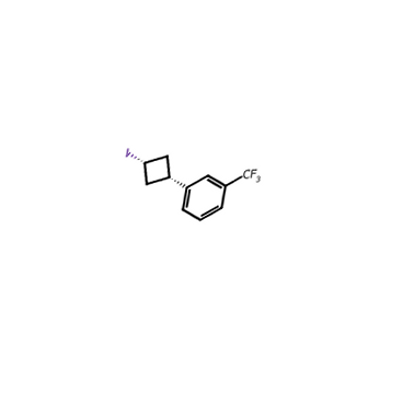 FC(F)(F)c1cccc([C@H]2C[C@@H](I)C2)c1